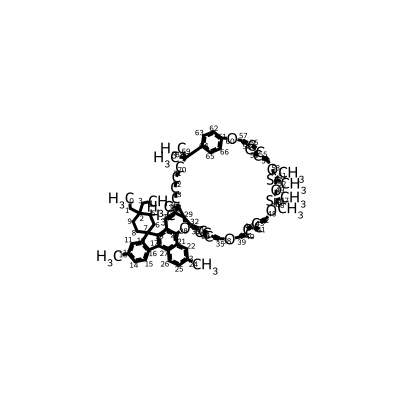 CCC1(CC)CCC2(CC1)c1cc(C)ccc1-c1c2c2c(c3cc(C)ccc13)OC1(C=C2)c2ccc(cc2)Oc2ccc(cc2)O[Si](C)(C)O[Si](C)(C)Oc2ccc(cc2)Oc2ccc(cc2)C(C)(C)CCCCC1(C)C